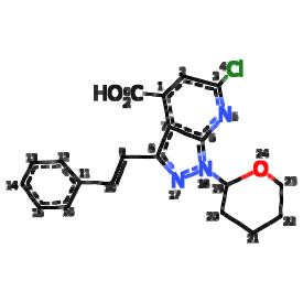 O=C(O)c1cc(Cl)nc2c1c(C=Cc1ccccc1)nn2C1CCCCO1